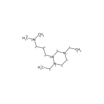 CCN1CC[N](CC)[Al]([CH2]CCN(C)C)[CH2]1